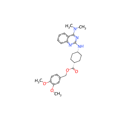 COc1ccc(COC(=O)[C@H]2CC[C@@H](Nc3nc(N(C)C)c4ccccc4n3)CC2)cc1OC